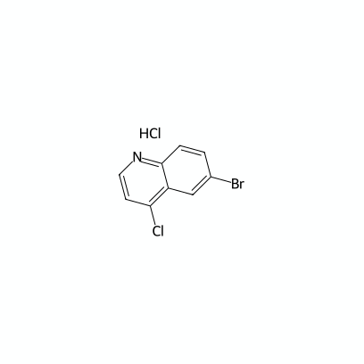 Cl.Clc1ccnc2ccc(Br)cc12